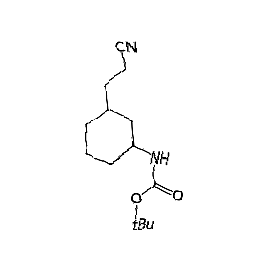 CC(C)(C)OC(=O)NC1CCCC(CCC#N)C1